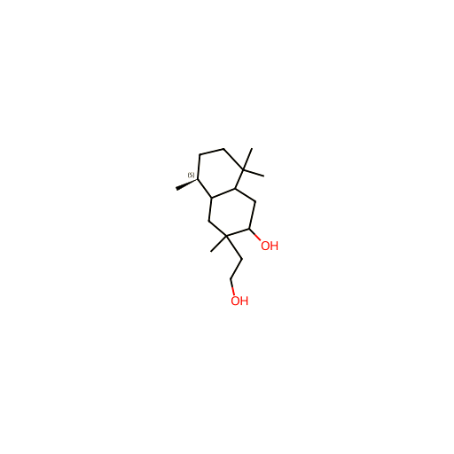 C[C@H]1CCC(C)(C)C2CC(O)C(C)(CCO)CC21